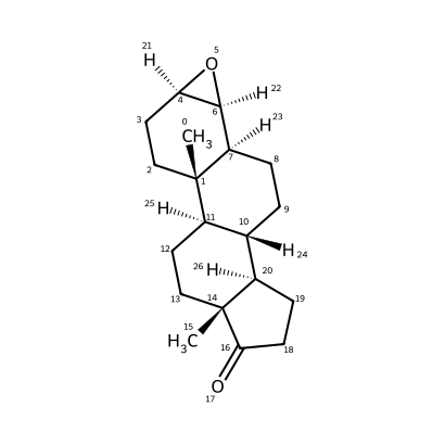 C[C@@]12CC[C@H]3O[C@H]3[C@H]1CC[C@H]1[C@H]2CC[C@@]2(C)C(=O)CC[C@H]12